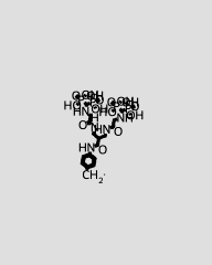 [CH2]c1ccc(NC(=O)C(CNC(=O)CNC(P(=O)(O)O)P(=O)(O)O)CNC(=O)CNC(P(=O)(O)O)P(=O)(O)O)cc1